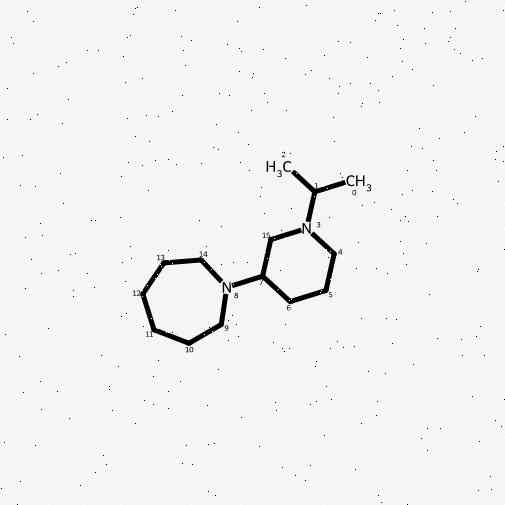 CC(C)N1CCCC(N2CCCCCC2)C1